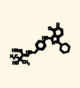 CC(C)(O)/C(=C/NCc1ccc(Nc2nn(C3CCCCC3)c3cc[nH]c(=O)c23)cc1)N=N